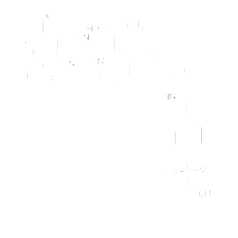 CCS(=O)(=O)c1ccc(CNC(=O)c2ccc3c(c2)CCN(c2ncc(C(=O)O)c(C(F)(F)F)n2)C3C(C)C)cc1